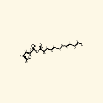 CCCCCCCCCCCC(=O)OC(=O)c1ccco1